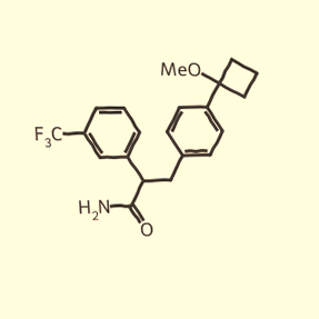 COC1(c2ccc(CC(C(N)=O)c3cccc(C(F)(F)F)c3)cc2)CCC1